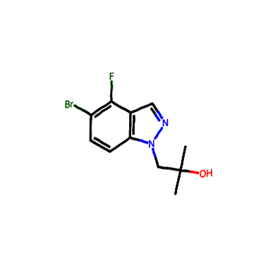 CC(C)(O)Cn1ncc2c(F)c(Br)ccc21